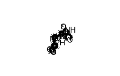 O=C1NCC2(CCOCC2)c2[nH]c(-c3ccnc(-c4ccc5c(c4)OCO5)n3)cc21